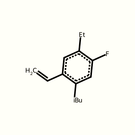 C=Cc1cc(CC)c(F)cc1C(C)CC